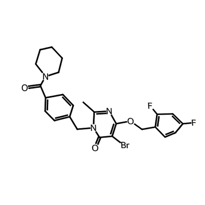 Cc1nc(OCc2ccc(F)cc2F)c(Br)c(=O)n1Cc1ccc(C(=O)N2CCCCC2)cc1